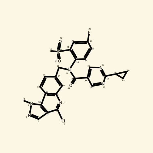 Cn1ncc2c(Cl)nc3cc(CN(C(=O)c4cnc(C5CC5)nc4)c4ccc(F)cc4S(C)(=O)=O)ccc3c21